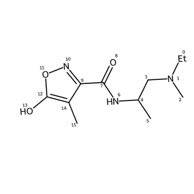 CCN(C)CC(C)NC(=O)c1noc(O)c1C